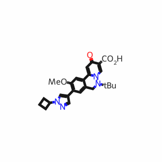 COc1cc2c(cc1-c1cnn(C3CCC3)c1)CN(C(C)(C)C)n1cc(C(=O)O)c(=O)cc1-2